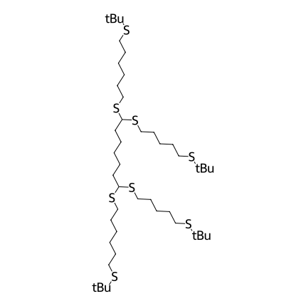 CC(C)(C)SCCCCCCSC(CCCCCC(SCCCCCCSC(C)(C)C)SCCCCCSC(C)(C)C)SCCCCCSC(C)(C)C